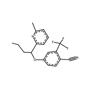 CCCC(Oc1ccc(C#N)c(C(F)(F)F)c1)c1cccc(C)n1